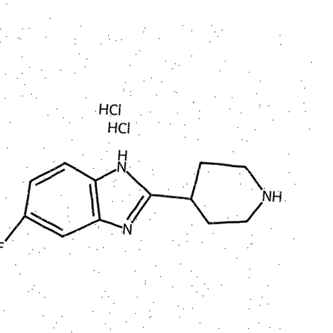 Cl.Cl.Fc1ccc2[nH]c(C3CCNCC3)nc2c1